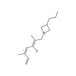 C=C/C(C)=C\C(F)=C(/C)CN1CC(CCC)C1